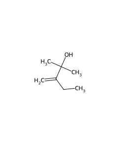 C=C(CC)C(C)(C)O